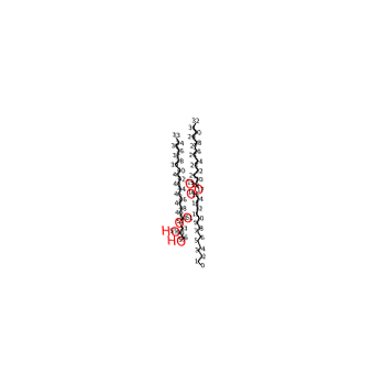 CCCCCCCCCCCCCCCC(=O)OC(=O)CCCCCCCCCCCCC.CCCCCCCCCCCCCCCCCC(=O)OCC(O)CO